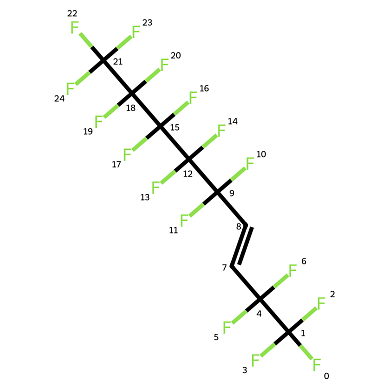 FC(F)(F)C(F)(F)/C=C/C(F)(F)C(F)(F)C(F)(F)C(F)(F)C(F)(F)F